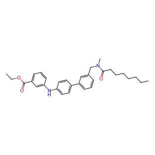 CCCCCCCC(=O)N(C)Cc1cccc(-c2ccc(Nc3cccc(C(=O)OCC)c3)cc2)c1